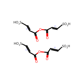 O=C(/C=C/S(=O)(=O)O)OC(=O)/C=C/S(=O)(=O)O.O=C(/C=C/S(=O)(=O)O)OC(=O)/C=C/S(=O)(=O)O